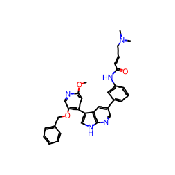 COc1cc(-c2c[nH]c3ncc(-c4cccc(NC(=O)/C=C/CN(C)C)c4)cc23)c(OCc2ccccc2)cn1